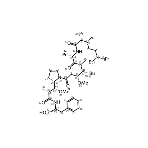 CCCN(CC)CCN(C)[C@H](C(=O)N[C@H](C(=O)N(C)[C@@H]([C@@H](C)CC)[C@@H](CC(=O)N1CCC[C@H]1[C@H](OC)[C@@H](C)C(=O)N[C@@H](Cc1ccccc1)C(=O)O)OC)C(C)C)C(C)C